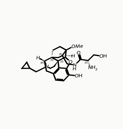 COC12CC[C@@]3(C[C@@H]1CNC(=O)[C@@H](N)CO)[C@H]1Cc4ccc(O)c5c4[C@@]3(CCN1CC1CC1)C2O5